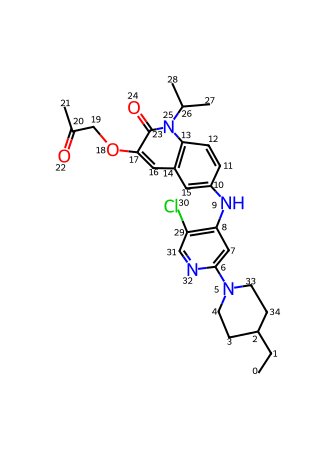 CCC1CCN(c2cc(Nc3ccc4c(c3)cc(OCC(C)=O)c(=O)n4C(C)C)c(Cl)cn2)CC1